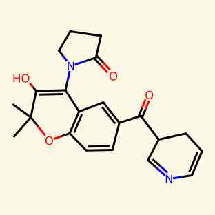 CC1(C)Oc2ccc(C(=O)C3C=NC=CC3)cc2C(N2CCCC2=O)=C1O